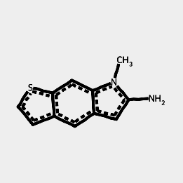 Cn1c(N)cc2cc3ccsc3cc21